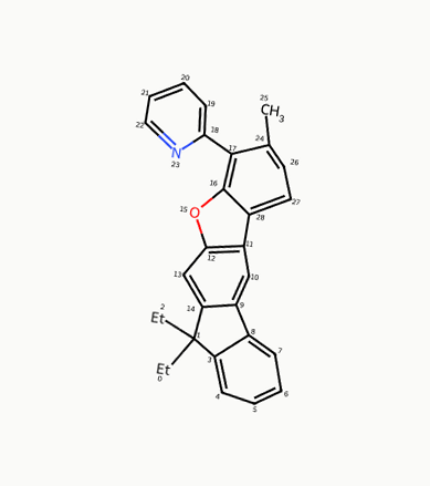 CCC1(CC)c2ccccc2-c2cc3c(cc21)oc1c(-c2ccccn2)c(C)ccc13